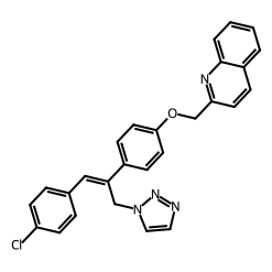 Clc1ccc(/C=C(\Cn2ccnn2)c2ccc(OCc3ccc4ccccc4n3)cc2)cc1